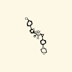 O=C(O)C1(NS(=O)(=O)c2ccc(-c3ccc(Cl)cc3)s2)CC1c1ccc(N2CCOCC2)cc1